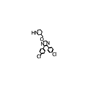 Clc1ccc(-c2ncc(OCC3CCCNC3)nc2-c2ccc(Cl)cc2)cc1